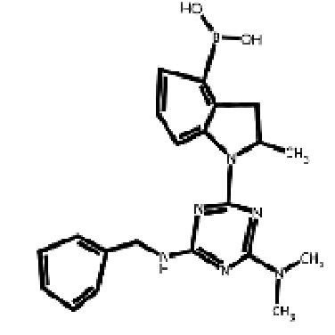 CC1Cc2c(B(O)O)cccc2N1c1nc(NCc2ccccc2)nc(N(C)C)n1